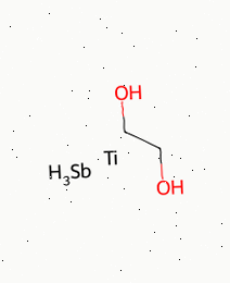 OCCO.[SbH3].[Ti]